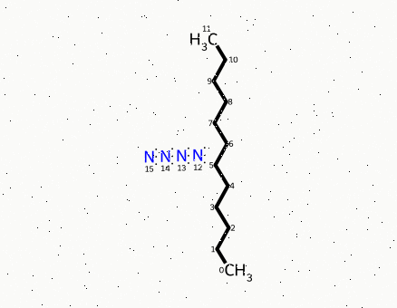 CCCCCCCCCCCC.[N].[N].[N].[N]